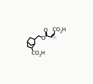 O=C(O)/C=C\C(=O)OCC1CC2CC(C(=O)O)C1C2